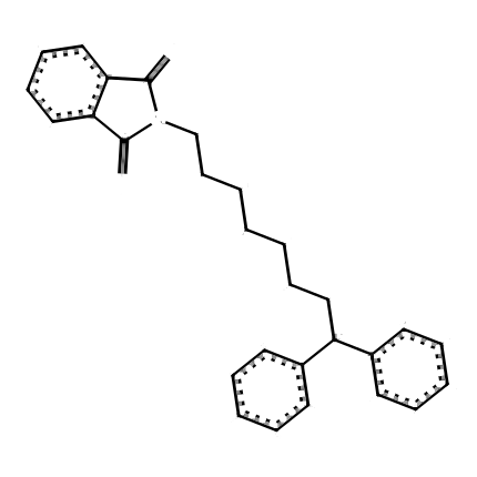 O=C1c2ccccc2C(=O)N1CCCCCCCC(c1ccccc1)c1ccccc1